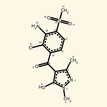 Cc1nn(C)c(O)c1C(=O)c1ccc(S(C)(=O)=O)c(N)c1Cl